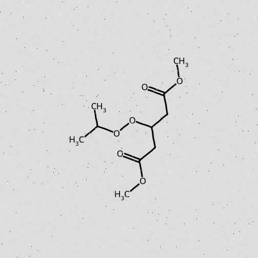 COC(=O)CC(CC(=O)OC)OOC(C)C